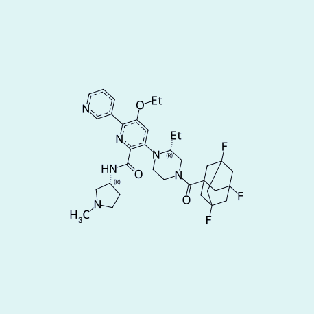 CCOc1cc(N2CCN(C(=O)C34CC5(F)CC(F)(CC(F)(C5)C3)C4)C[C@H]2CC)c(C(=O)N[C@@H]2CCN(C)C2)nc1-c1cccnc1